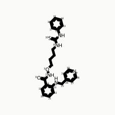 O=C(NOCCCCNC(=S)Nc1ccccc1)c1ccccc1NCc1ccncc1